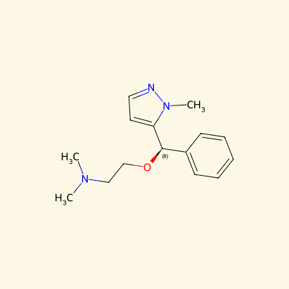 CN(C)CCO[C@H](c1ccccc1)c1ccnn1C